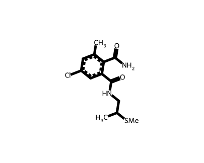 CSC(C)CNC(=O)c1cc(Cl)cc(C)c1C(N)=O